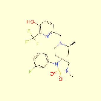 C[C@H]1C[C@]2(CCN1Cc1ccc(O)c(C(F)(F)F)n1)CN(C)S(=O)(=O)N2c1cccc(F)c1